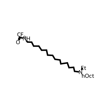 CCCCCCCCN(CC)CCCCCCCCCCCCCCCNC(=O)C(F)(F)F